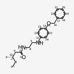 [CH2]C[C@H](C)CC(=O)NCCNc1ccc(OCc2ccccc2)cc1